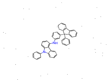 C1=CC2=C(CC1)C(c1ccccc1)(c1cccc(Nc3cccc4c3c3ccccc3n4-c3ccccc3)c1)c1ccccc12